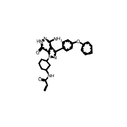 C=CC(=O)NC1CCCC(n2nc(-c3ccc(Oc4ccccc4)cc3)c3c(N)n[nH]c(=O)c32)C1